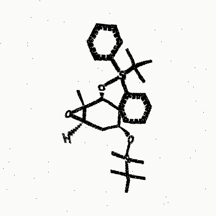 CC(C)(C)[Si](C)(C)O[C@H]1C[C@H]2O[C@]2(C)[C@H](O[Si](c2ccccc2)(c2ccccc2)C(C)(C)C)C1